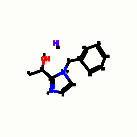 CC(O)c1nccn1Cc1ccccc1.I